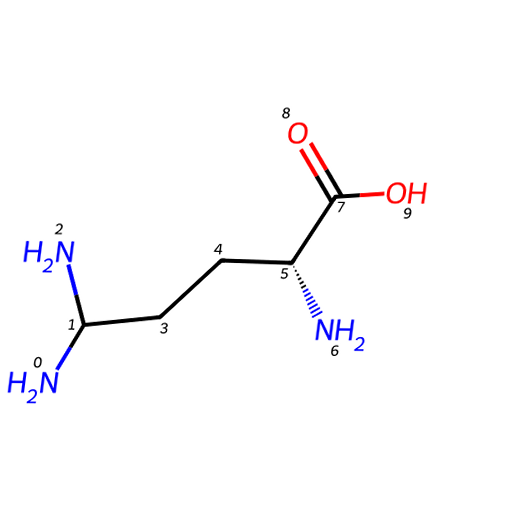 NC(N)CC[C@@H](N)C(=O)O